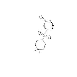 CC1(C)CCC(S(=O)(=O)c2cccc(Cl)c2)CC1